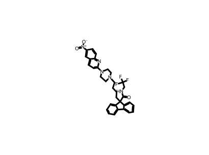 O=C(NCC(F)(F)F)C1(CCCCN2CCN(c3ccc4cc([N+](=O)[O-])ccc4n3)CC2)c2ccccc2-c2ccccc21